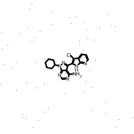 Nc1ncnc2c1c(-c1[nH]c3ncccc3c1Cl)nn2C1CCCCC1